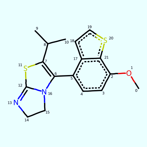 COc1ccc(C2=C(C(C)C)SC3=NCCN32)c2ccsc12